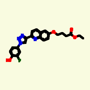 CCOC(=O)CCCOc1ccc2nc(-c3cn(-c4ccc(O)c(F)c4)nn3)ccc2c1